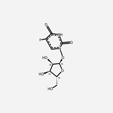 O=c1[nH]c(=O)n(O[C@H]2O[C@H](CO)[C@@H](O)[C@H]2O)cc1F